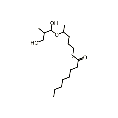 CCCCCCCC(=O)SCCCC(C)OC(O)C(C)CO